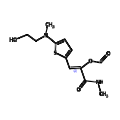 CNC(=O)/C(=C/c1ccc(N(C)CCO)s1)OC=O